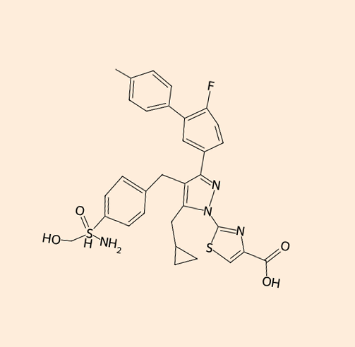 Cc1ccc(-c2cc(-c3nn(-c4nc(C(=O)O)cs4)c(CC4CC4)c3Cc3ccc([SH](N)(=O)CO)cc3)ccc2F)cc1